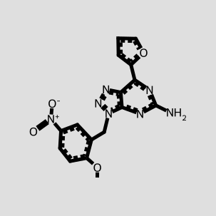 COc1ccc([N+](=O)[O-])cc1Cn1nnc2c(-c3ccco3)nc(N)nc21